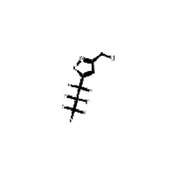 FC(F)(F)C(F)(F)C(F)(F)c1cc(CCl)no1